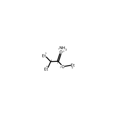 CCOC(=O)C(CC)CC.N